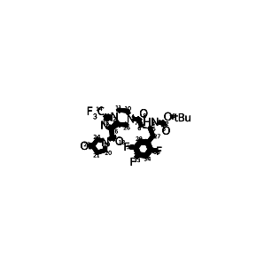 CC(C)(C)OC(=O)N[C@@H](CC(=O)N1CCn2c(C(F)(F)F)nc(C(=O)N3CCC(=O)C3)c2C1)Cc1cc(F)c(F)cc1F